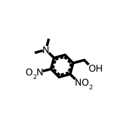 CN(C)c1cc(CO)c([N+](=O)[O-])cc1[N+](=O)[O-]